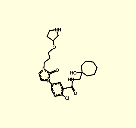 O=C(NCC1(O)CCCCCC1)c1cc(-n2ccn(CCCOC3CCNC3)c2=O)ccc1Cl